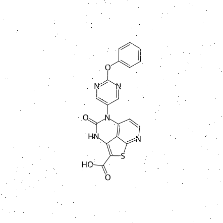 O=C(O)c1sc2nccc3c2c1NC(=O)N3c1cnc(Oc2ccccc2)nc1